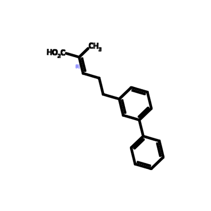 C/C(=C\CCc1cccc(-c2ccccc2)c1)C(=O)O